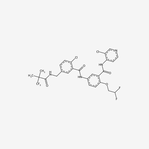 CC(C)(C(=O)NCc1ccc(Cl)c(C(=O)Nc2ccc(OCC(F)F)c(C(=O)Nc3ccncc3Cl)c2)c1)C(F)(F)F